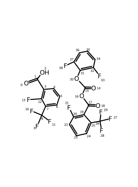 O=C(O)c1cccc(C(F)(F)F)c1F.O=C(OC(=O)c1c(F)cccc1C(F)(F)F)Oc1c(F)cccc1F